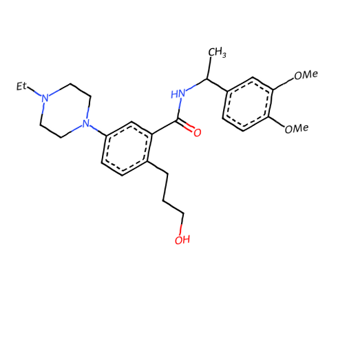 CCN1CCN(c2ccc(CCCO)c(C(=O)NC(C)c3ccc(OC)c(OC)c3)c2)CC1